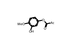 COc1ccc(OC(=O)C(C)=O)cc1O